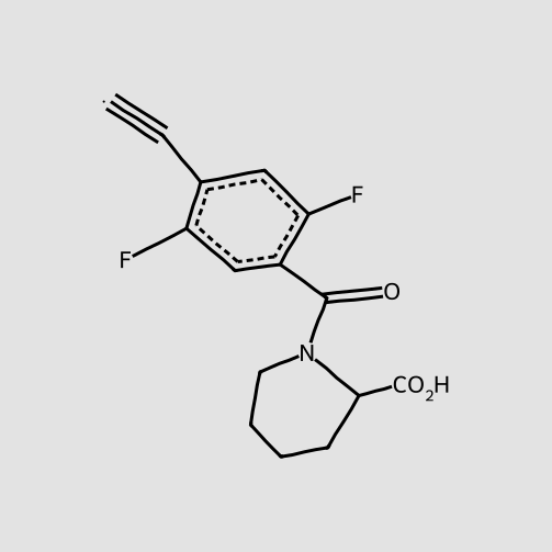 [C]#Cc1cc(F)c(C(=O)N2CCCCC2C(=O)O)cc1F